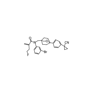 C=C(CCF)C(=O)N(CC12CCC(c3ccc(C4(C#N)CC4)cc3)(CC1)OC2)c1cccc(Br)c1